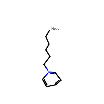 [CH2]CCCCCCCCCCC[n+]1ccccc1